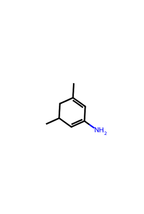 CC1=CC(N)=CC(C)C1